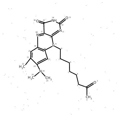 CC(=O)CCCCCCn1c2nc(=O)[nH]c(=O)c-2nc2cc(C)c(N(C)C)cc21